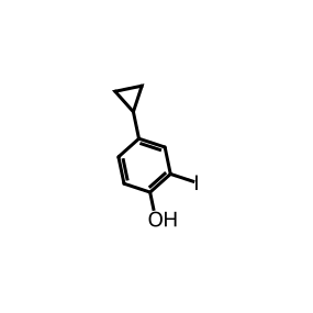 Oc1ccc(C2CC2)cc1I